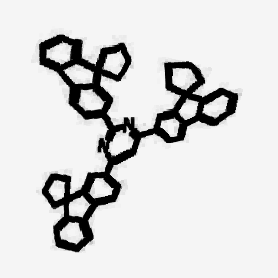 c1ccc2c(c1)-c1ccc(-c3cc(-c4ccc5c(c4)C4(CCCC4)c4ccccc4-5)nc(-c4ccc5c(c4)C4(CCCC4)c4ccccc4-5)n3)cc1C21CCCC1